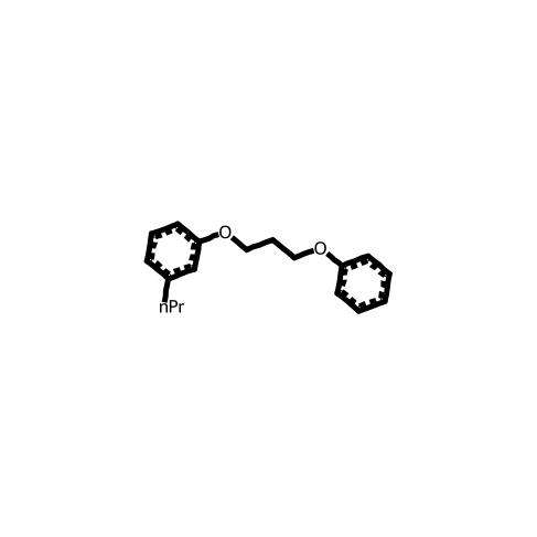 CCCc1cccc(OCCCOc2ccccc2)c1